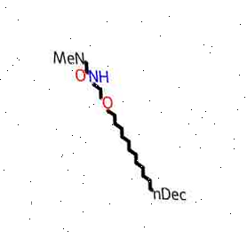 CCCCCCCCCCCCCCCCCCCCCCCOCCCNC(=O)CNC